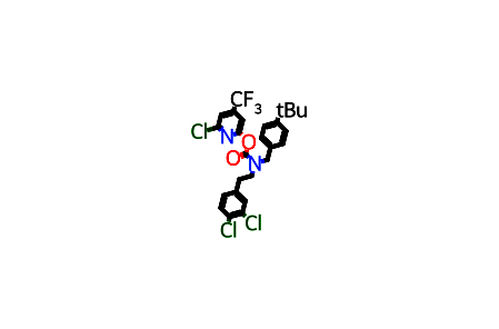 CC(C)(C)c1ccc(CN(CCc2ccc(Cl)c(Cl)c2)C(=O)Oc2cc(C(F)(F)F)cc(Cl)n2)cc1